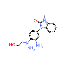 Cn1c(=O)n(-c2ccc(N(N)CCO)c(N)c2)c2ccccc21